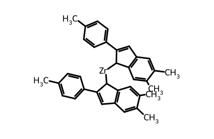 Cc1ccc(C2=Cc3cc(C)c(C)cc3[CH]2[Zr][CH]2C(c3ccc(C)cc3)=Cc3cc(C)c(C)cc32)cc1